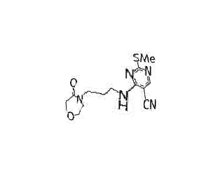 CSc1ncc(C#N)c(NCCCN2CCOCCC2=O)n1